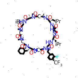 CC[C@H](C)[C@@H]1NC(=O)[C@H](C)N(C)C(=O)C[C@@H](C)N(C)C(=O)[C@H](CC(C)C)NC(=O)C(C)(C)N(C)C(=O)[C@H](CC(C)C)NC(=O)[C@H](CCc2ccc(C(F)(F)F)c(F)c2)NC(=O)CN(C)C(=O)[C@H](CC2CCCCC2)N(C)C(=O)CN(C)C(=O)CN(C)C1=O